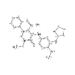 CCn1nc(-c2ccccc2)c(C(C)=O)c(Nc2ccc(OC)c(OC3CCCC3)c2)c1=O